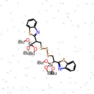 CCC(C)O[Si](OC(C)CC)(OC(C)CC)C(CSSSCC(c1nc2ccccc2s1)[Si](OC(C)CC)(OC(C)CC)OC(C)CC)c1nc2ccccc2s1